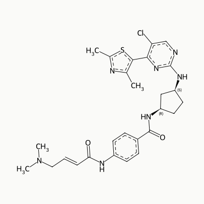 Cc1nc(C)c(-c2nc(N[C@H]3CC[C@@H](NC(=O)c4ccc(NC(=O)C=CCN(C)C)cc4)C3)ncc2Cl)s1